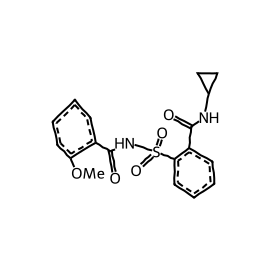 COc1ccccc1C(=O)NS(=O)(=O)c1ccccc1C(=O)NC1CC1